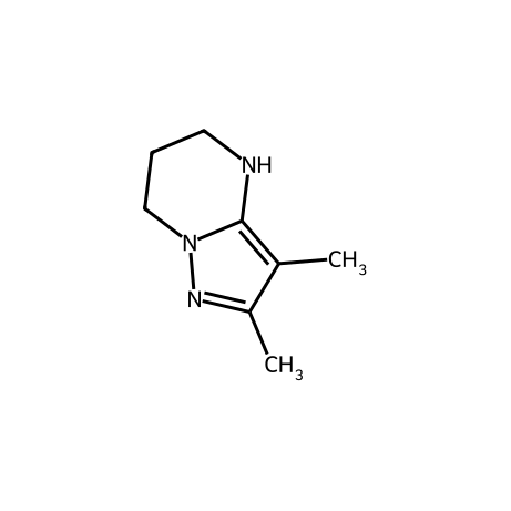 Cc1nn2c(c1C)NCCC2